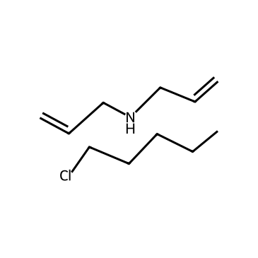 C=CCNCC=C.CCCCCCl